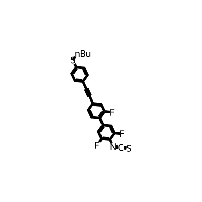 CCCCSc1ccc(C#Cc2ccc(-c3cc(F)c(N=C=S)c(F)c3)c(F)c2)cc1